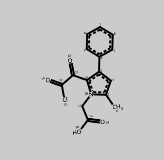 Cc1cc(-c2ccccc2)c(C(=O)C(=O)Cl)n1CC(=O)O